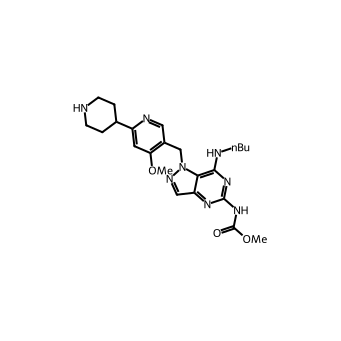 CCCCNc1nc(NC(=O)OC)nc2cnn(Cc3cnc(C4CCNCC4)cc3OC)c12